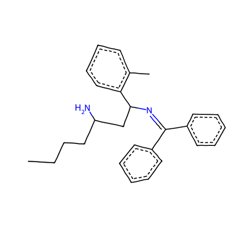 CCCCC(N)CC(N=C(c1ccccc1)c1ccccc1)c1ccccc1C